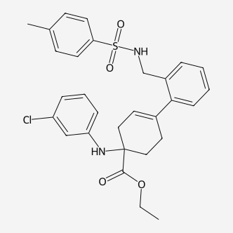 CCOC(=O)C1(Nc2cccc(Cl)c2)CC=C(c2ccccc2CNS(=O)(=O)c2ccc(C)cc2)CC1